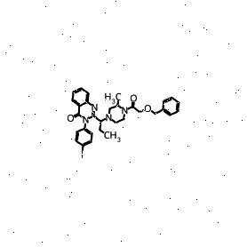 CCC(c1nc2ccccc2c(=O)n1-c1ccc(I)cc1)N1CCN(C(=O)COCc2ccccc2)C(C)C1